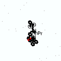 CCCc1nc(CCN2C(=O)c3ccccc3C2=O)c(Cc2ccc(-c3ccccc3-c3nnnn3C(c3ccccc3)(c3ccccc3)c3ccccc3)cc2)[nH]1